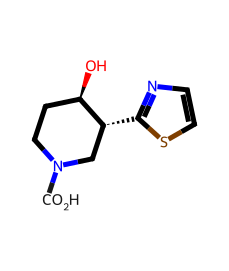 O=C(O)N1CC[C@@H](O)[C@H](c2nccs2)C1